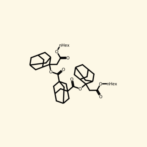 CCCCCCOC(=O)CC1(OC(=O)C23CC4CC(C2)CC(C(=O)OC2(CC(=O)OCCCCCC)C5CC6CC(C5)CC2C6)(C4)C3)C2CC3CC(C2)CC1C3